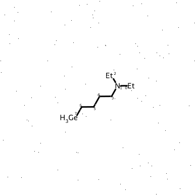 CCN(CC)CCC[CH2][GeH3]